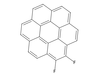 Fc1c(F)c2ccc3ccc4ccc5ccc6ccc1c1c6c5c4c3c21